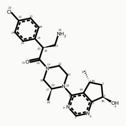 C[C@@H]1C[C@@H](O)c2ncnc(N3CCN(C(=O)[C@H](CN)c4ccc(Cl)cc4)C[C@@H]3C)c21